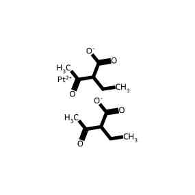 CCC(C(C)=O)C(=O)[O-].CCC(C(C)=O)C(=O)[O-].[Pt+2]